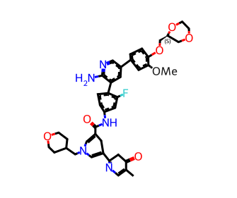 COc1cc(-c2cnc(N)c(-c3ccc(NC(=O)C4=CN(CC5CCOCC5)C=C(C5=NC=C(C)C(=O)C5)C4)cc3F)c2)ccc1OC[C@@H]1COCCO1